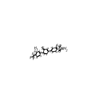 Cc1cc(C2C=CC(c3ccc(S(N)(=O)=O)c(F)c3)=CC2=S)ccc1C(F)(F)F